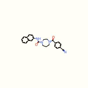 N#Cc1ccc(C(=O)N2CCCN(C(=O)Nc3ccc4ccccc4c3)CC2)cc1